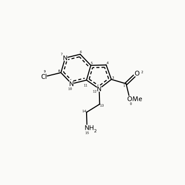 COC(=O)c1cc2cnc(Cl)nc2n1CCN